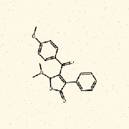 COc1ccc(C(=O)C2=C(c3ccccc3)C(=O)OC2N(C)C)cc1